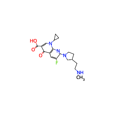 CNCCC1CCN(c2nc3c(cc2F)c(=O)c(C(=O)O)cn3C2CC2)C1